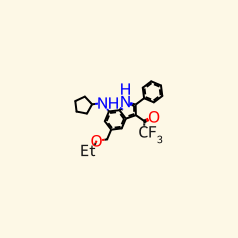 CCOCc1cc(NC2CCCC2)c2[nH]c(-c3ccccc3)c(C(=O)C(F)(F)F)c2c1